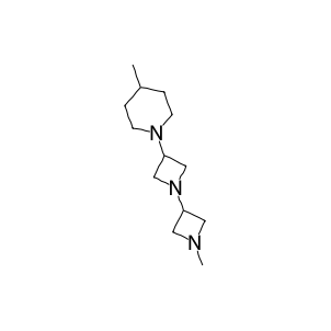 CC1CCN(C2CN(C3CN(C)C3)C2)CC1